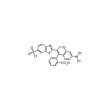 CCN(CC)c1ccc2c(c1)OCC(c1nc3ccc(S(=O)(=O)Cl)cc3s1)=C2c1ccccc1C(=O)O